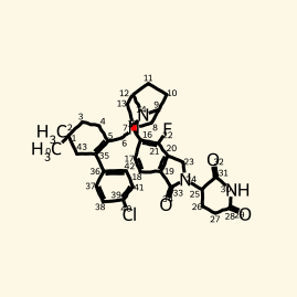 CC1(C)CCC(CN2CC3CCC(C2)N3Cc2ccc3c(c2F)CN(C2CCC(=O)NC2=O)C3=O)=C(c2ccc(Cl)cc2)C1